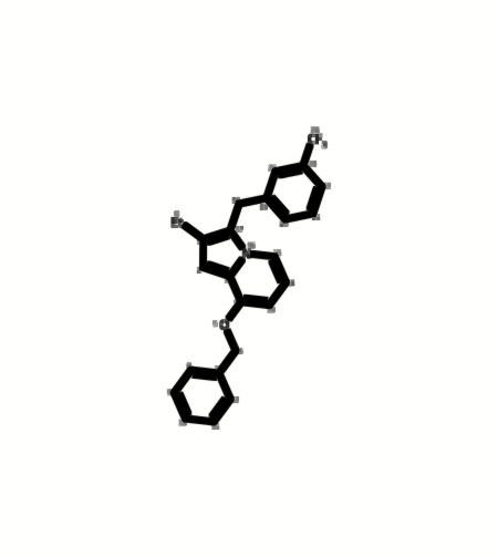 CCc1cc2c(OCc3ccccc3)cccn2c1Cc1cccc(C(F)(F)F)c1